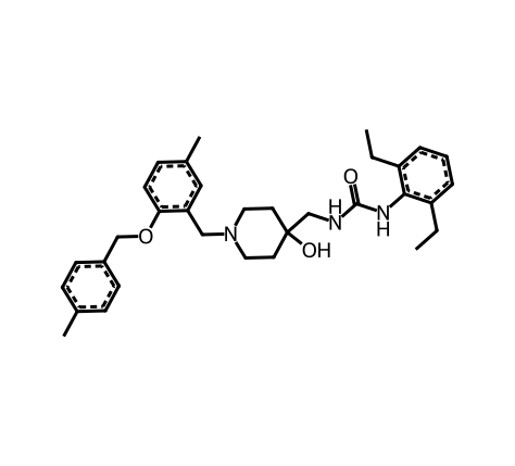 CCc1cccc(CC)c1NC(=O)NCC1(O)CCN(Cc2cc(C)ccc2OCc2ccc(C)cc2)CC1